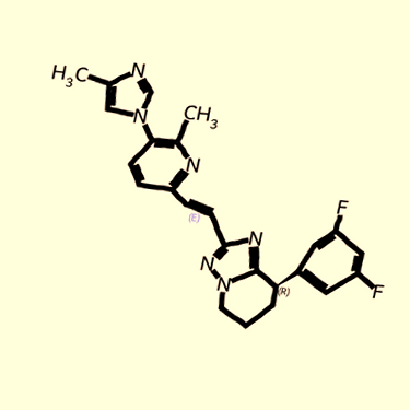 Cc1cn(-c2ccc(/C=C/c3nc4n(n3)CCC[C@@H]4c3cc(F)cc(F)c3)nc2C)cn1